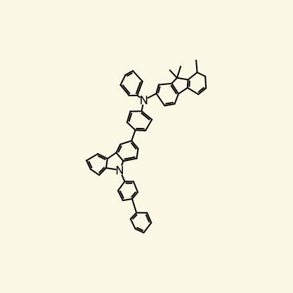 CC1CC=CC2=C1C(C)(C)c1cc(N(c3ccccc3)c3ccc(-c4ccc5c(c4)c4ccccc4n5-c4ccc(-c5ccccc5)cc4)cc3)ccc12